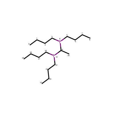 CCCCP(CCCC)C(C)P(CCCC)CCCC